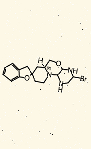 BrC1CNC2C(N1)OC[C@H]1CC3(CCN21)Cc1ccccc1O3